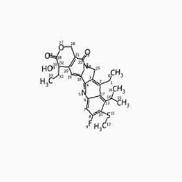 CCc1c2c(nc3cc(F)c(SC)c(C(C)C)c13)-c1cc3c(c(=O)n1C2)COC(=O)[C@]3(O)CC